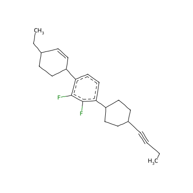 CCC#CC1CCC(c2ccc(C3C=CC(CC)CC3)c(F)c2F)CC1